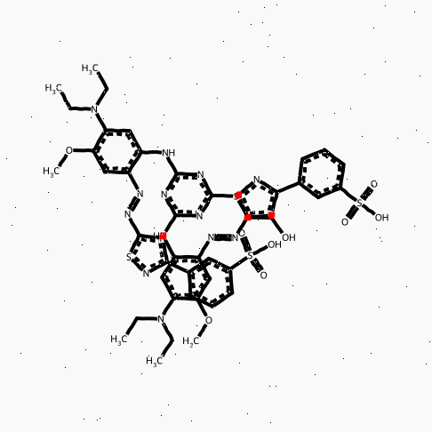 CCN(CC)c1cc(Nc2nc(Nc3cc(N(CC)CC)c(OC)cc3/N=N/c3nc(-c4cccc(S(=O)(=O)O)c4)ns3)nc(SCCO)n2)c(/N=N/c2nc(-c3cccc(S(=O)(=O)O)c3)ns2)cc1OC